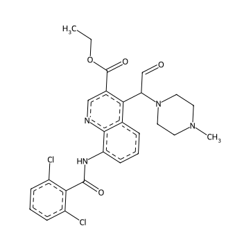 CCOC(=O)c1cnc2c(NC(=O)c3c(Cl)cccc3Cl)cccc2c1C(C=O)N1CCN(C)CC1